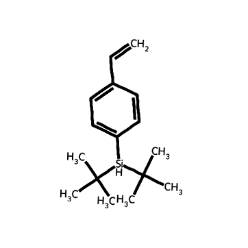 C=Cc1ccc([SiH](C(C)(C)C)C(C)(C)C)cc1